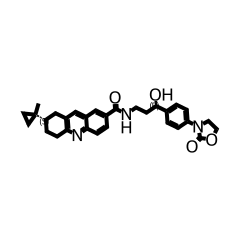 CC1([C@H]2CCc3nc4ccc(C(=O)NCC[C@@H](O)c5ccc(N6CCOC6=O)cc5)cc4cc3C2)CC1